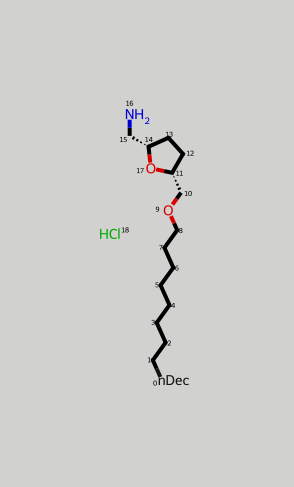 CCCCCCCCCCCCCCCCCCOC[C@H]1CC[C@@H](CN)O1.Cl